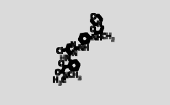 C=C(CN1CCOCC1)C(=O)Nc1cccc(Nc2ncc(Cl)c(Nc3ccccc3C(=O)C(=O)N(C)C)n2)c1